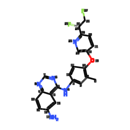 Cc1cc(Nc2ncnc3ccc(N)cc23)ccc1Oc1ccc([C@H](F)CF)nc1